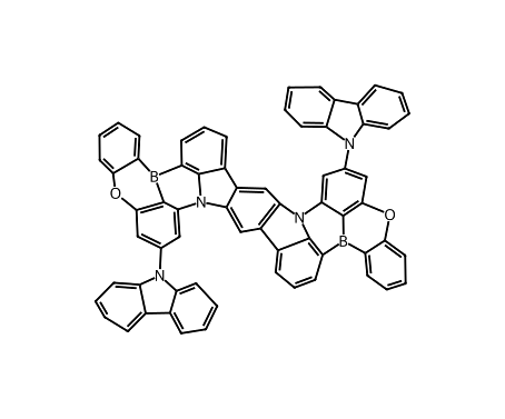 c1ccc2c(c1)Oc1cc(-n3c4ccccc4c4ccccc43)cc3c1B2c1cccc2c4cc5c(cc4n-3c12)c1cccc2c1n5-c1cc(-n3c4ccccc4c4ccccc43)cc3c1B2c1ccccc1O3